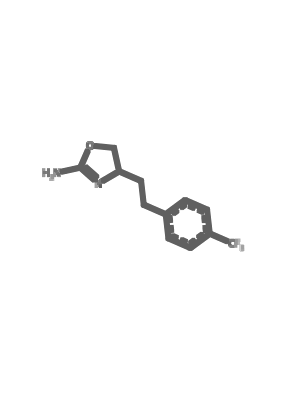 NC1=NC(CCc2ccc(C(F)(F)F)cc2)CO1